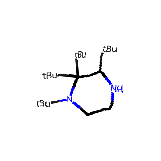 CC(C)(C)C1NCCN(C(C)(C)C)C1(C(C)(C)C)C(C)(C)C